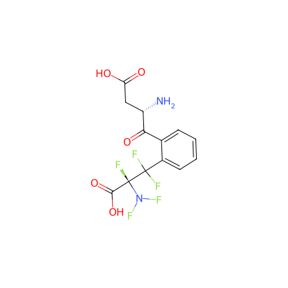 N[C@@H](CC(=O)O)C(=O)c1ccccc1C(F)(F)[C@@](F)(C(=O)O)N(F)F